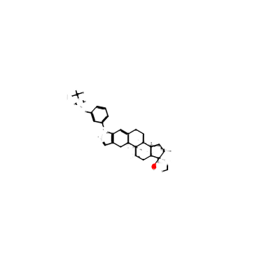 C[C@@H]1C[C@H]2[C@@H]3CCC4=Cc5c(cnn5-c5cccc(OS(=O)(=O)C(F)(F)F)c5)C[C@]4(C)[C@@]3(F)[C@@H](O)C[C@]2(C)[C@]12OCOC21COCO1